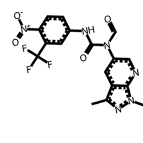 Cc1nn(C)c2ncc(N(C=O)C(=O)Nc3ccc([N+](=O)[O-])c(C(F)(F)F)c3)cc12